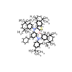 Cc1cc(C(C)(C)C)ccc1N1c2cc3c(cc2B2c4sc5cc6c(cc5c4N(c4ccc5c(c4)C(C)(C)CCC5(C)C)c4cc(C5CCCCC5)cc1c42)C(C)(C)CCC6(C)C)C(C)(C)CCC3(C)C